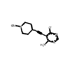 CC(C)(C)N1CCC(C#Cc2c(N)ncnc2Cl)CC1